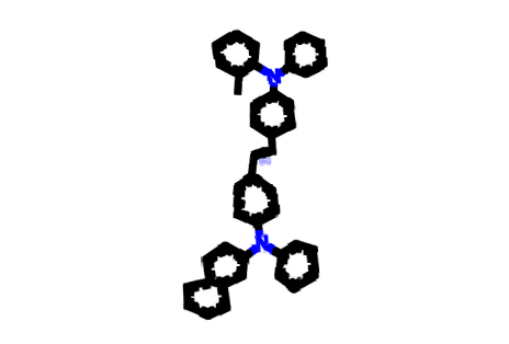 Cc1ccccc1N(c1ccccc1)c1ccc(/C=C/c2ccc(N(c3ccccc3)c3ccc4ccccc4c3)cc2)cc1